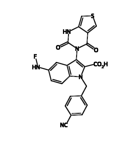 N#Cc1ccc(Cn2c(C(=O)O)c(-n3c(=O)[nH]c4cscc4c3=O)c3cc(NF)ccc32)cc1